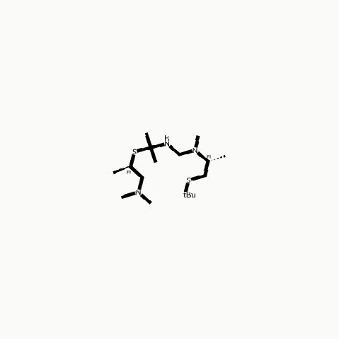 C[C@H](CN(C)C)SC(C)(C)NCN(C)[C@H](C)CSC(C)(C)C